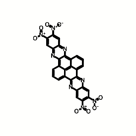 O=[N+]([O-])c1cc2nc3c4cccc5c6nc7cc([N+](=O)[O-])c([N+](=O)[O-])cc7nc6c6cccc(c3nc2cc1[N+](=O)[O-])c6c45